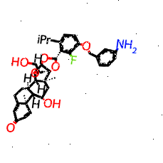 CC(C)c1ccc(OCc2cccc(N)c2)c(F)c1[C@H]1O[C@@H]2C[C@H]3[C@@H]4CCC5=CC(=O)C=C[C@]5(C)[C@H]4[C@@H](O)C[C@]3(C)[C@]2(C(=O)CO)O1